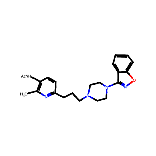 CC(=O)Nc1ccc(CCCN2CCN(c3noc4ccccc34)CC2)nc1C